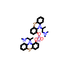 CC(CN(C)C)N1c2ccccc2Sc2cccc(O[PH](=O)Oc3cccc4c3N(C(C)CN(C)C)c3ccccc3S4)c21